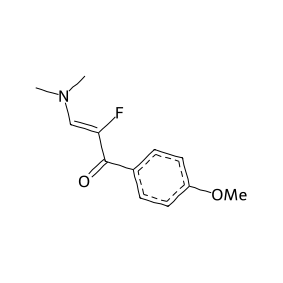 COc1ccc(C(=O)C(F)=CN(C)C)cc1